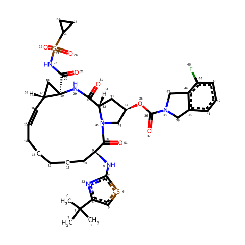 CC(C)(C)c1csc(N[C@H]2CCCCC/C=C\[C@@H]3C[C@@]3(C(=O)NS(=O)(=O)C3CC3)NC(=O)[C@@H]3C[C@@H](OC(=O)N4Cc5cccc(F)c5C4)CN3C2=O)n1